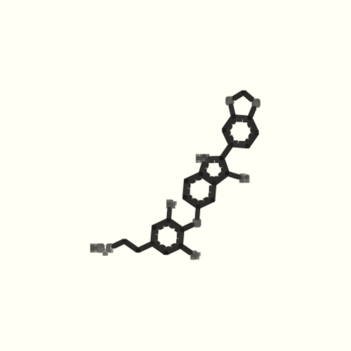 CCc1c(-c2ccc3c(c2)OCO3)[nH]c2ccc(Oc3c(Br)cc(CCC(=O)O)cc3Br)cc12